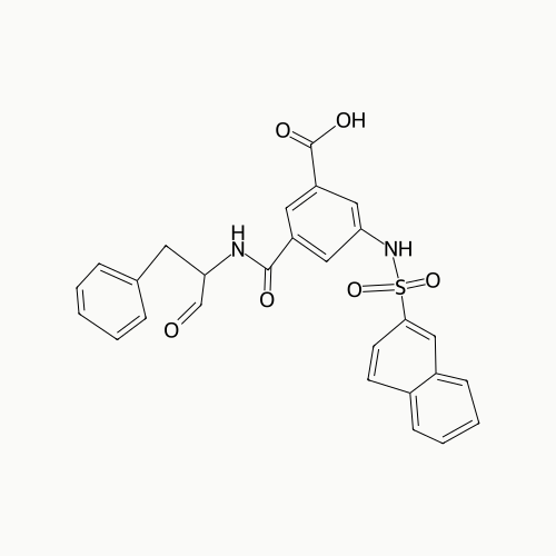 O=CC(Cc1ccccc1)NC(=O)c1cc(NS(=O)(=O)c2ccc3ccccc3c2)cc(C(=O)O)c1